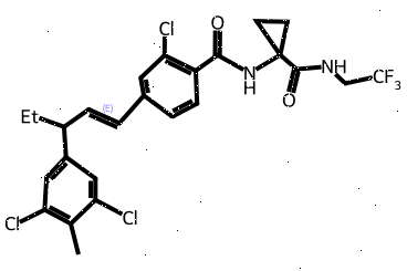 CCC(/C=C/c1ccc(C(=O)NC2(C(=O)NCC(F)(F)F)CC2)c(Cl)c1)c1cc(Cl)c(C)c(Cl)c1